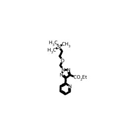 CCOC(=O)c1nn(COCC[Si](C)(C)C)nc1-c1ccccn1